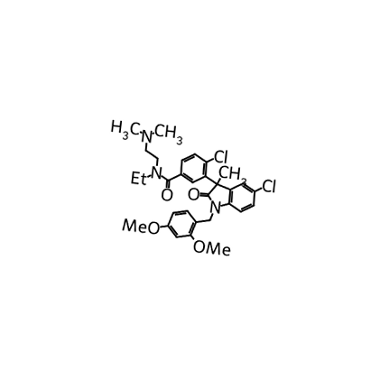 CCN(CCN(C)C)C(=O)c1ccc(Cl)c(C2(C)C(=O)N(Cc3ccc(OC)cc3OC)c3ccc(Cl)cc32)c1